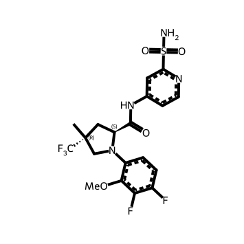 COc1c(N2C[C@](C)(C(F)(F)F)C[C@H]2C(=O)Nc2ccnc(S(N)(=O)=O)c2)ccc(F)c1F